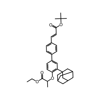 CCOC(=O)C(C)Oc1ccc(-c2ccc(C=CC(=O)OC(C)(C)C)cc2)cc1C12CC3CC(CC(C3)C1)C2